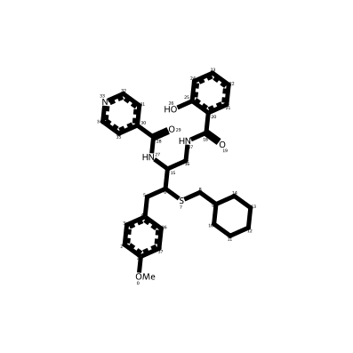 COc1ccc(CC(SCC2CCCCC2)C(CNC(=O)c2ccccc2O)NC(=O)c2ccncc2)cc1